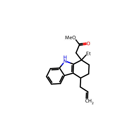 C=CCC1CCC(CC)(CC(=O)OC)c2[nH]c3ccccc3c21